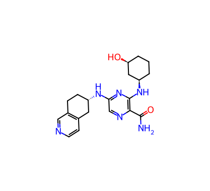 NC(=O)c1ncc(N[C@H]2CCc3cnccc3C2)nc1N[C@@H]1CCC[C@H](O)C1